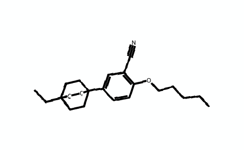 CCCCCOc1ccc(C23CCC(CC)(CC2)CC3)cc1C#N